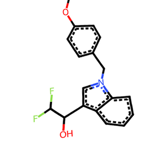 COc1ccc(Cn2cc(C(O)C(F)F)c3ccccc32)cc1